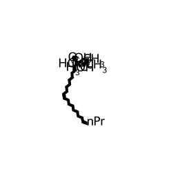 CCC/C=C\CCCCCCC/C=C\CCCCCCCCC(O)(C[N+](C)(C)C)P(=O)(O)O